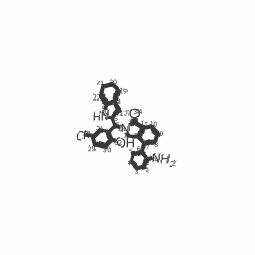 Nc1ccccc1-c1cccc2c1CN(C(c1cc3ccccc3[nH]1)c1cc(Cl)ccc1O)C2=O